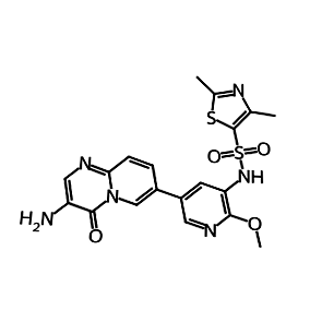 COc1ncc(-c2ccc3ncc(N)c(=O)n3c2)cc1NS(=O)(=O)c1sc(C)nc1C